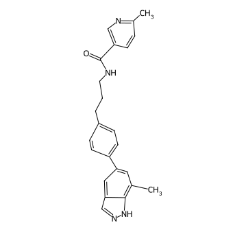 Cc1ccc(C(=O)NCCCc2ccc(-c3cc(C)c4[nH]ncc4c3)cc2)cn1